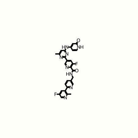 Cc1cc(Nc2cc[nH]c(=O)c2)nc(-c2cnc(C(=O)NCc3ccc(-c4cc(F)cnc4C)nc3)c(F)c2)n1